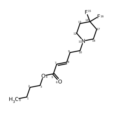 CCCCOC(=O)C=CCCN1CCC(F)(F)CC1